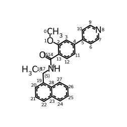 COc1cc(-c2ccncc2)ccc1C(=O)N[C@@H](C)c1cccc2ccccc12